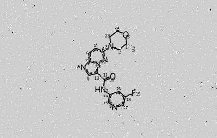 C[C@@H]1CN(c2ccc3ncc(C(=O)Nc4cncc(F)c4)n3n2)CCO1